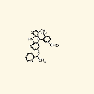 Cc1csc(Nc2ncc(SC(C)c3ccccn3)cc2Oc2cc(C=O)ccc2Cl)n1